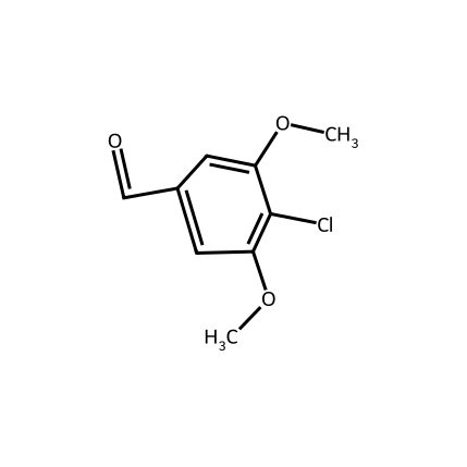 COc1cc(C=O)cc(OC)c1Cl